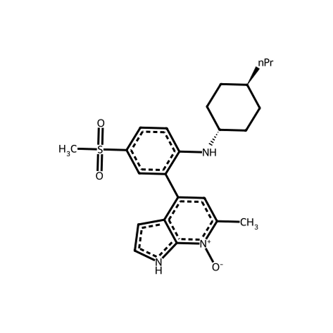 CCC[C@H]1CC[C@H](Nc2ccc(S(C)(=O)=O)cc2-c2cc(C)[n+]([O-])c3[nH]ccc23)CC1